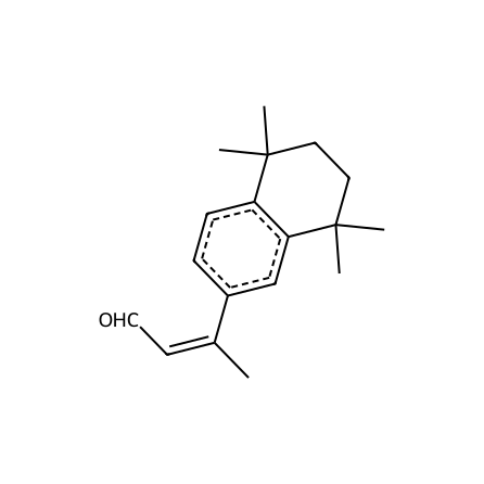 C/C(=C/C=O)c1ccc2c(c1)C(C)(C)CCC2(C)C